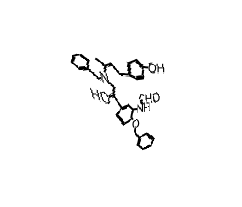 CC(CCc1ccc(O)cc1)N(Cc1ccccc1)CC(O)c1ccc(OCc2ccccc2)c(NC=O)c1